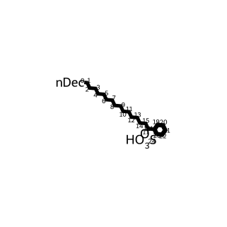 CCCCCCCCCCCCCCCCCCCCCCCCCC(=O)c1ccccc1S(=O)(=O)O